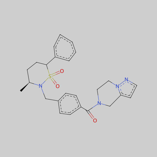 C[C@H]1CCC(c2ccccc2)S(=O)(=O)N1Cc1ccc(C(=O)N2CCn3nccc3C2)cc1